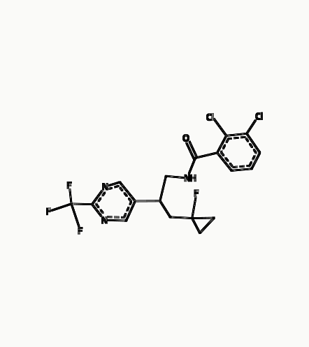 O=C(NCC(CC1(F)CC1)c1cnc(C(F)(F)F)nc1)c1cccc(Cl)c1Cl